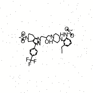 CS(=O)(=O)Nc1cccc(CI)c1N1CCN(CC(O)Cn2nc(-c3ccc(C(F)(F)F)cc3)c3c2CCN(S(C)(=O)=O)C3)CC1